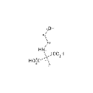 CC(NCCO)(C(=O)O)C(=O)O